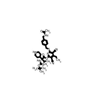 CCc1c(C#N)c(OC(=O)[C@@](NC(=O)OC(C)(C)C)(C(C)C)C2CCNCC2)nc(SCc2ccc(CNC(C)=O)cc2)c1C#N